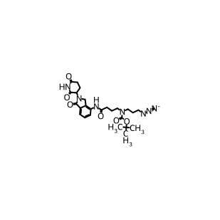 CC(C)(C)OC(=O)N(CCCN=[N+]=[N-])CCCC(=O)Nc1cccc2c1CN(C1CCC(=O)NC1=O)C2=O